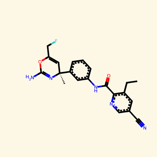 CCc1cc(C#N)cnc1C(=O)Nc1cccc([C@]2(C)C=C(CF)OC(N)=N2)c1